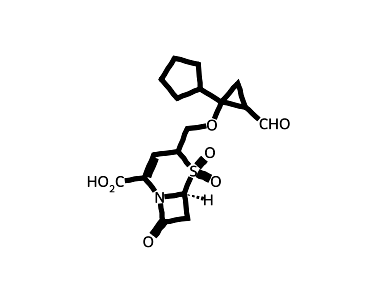 O=CC1CC1(OCC1C=C(C(=O)O)N2C(=O)C[C@@H]2S1(=O)=O)C1CCCC1